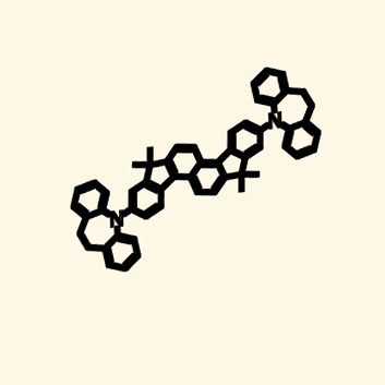 CC1(C)c2cc(N3c4ccccc4CCc4ccccc43)ccc2-c2c1ccc1c3c(ccc21)C(C)(C)c1cc(N2c4ccccc4CCc4ccccc42)ccc1-3